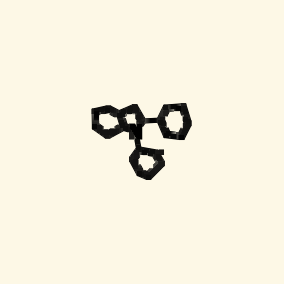 [c]1ccccc1-n1c(-c2ccccc2)cc2ccccc21